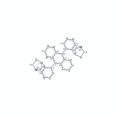 c1cc(-c2c3ccccc3c(-c3cccc4c3C3CCN4C3)c3ccccc23)c2c(c1)N1CCC2C1